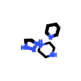 C1CNCCN1.c1c[nH]nn1.c1ccncc1